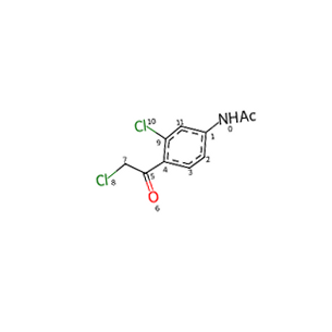 CC(=O)Nc1ccc(C(=O)CCl)c(Cl)c1